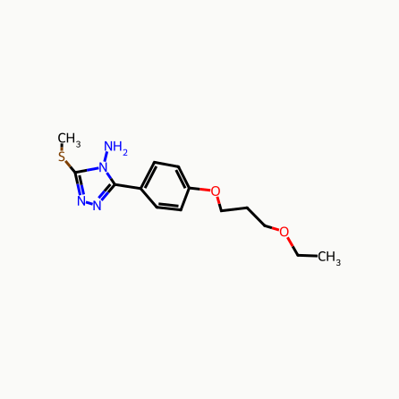 CCOCCCOc1ccc(-c2nnc(SC)n2N)cc1